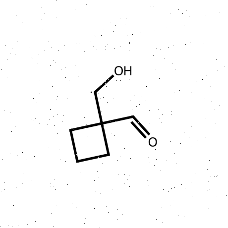 O=CC1([CH]O)CCC1